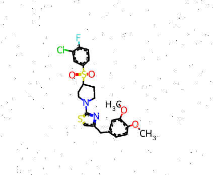 COc1ccc(Cc2csc(N3CCC(S(=O)(=O)c4ccc(F)c(Cl)c4)CC3)n2)cc1OC